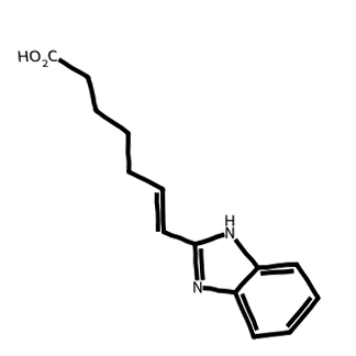 O=C(O)CCCCC=Cc1nc2ccccc2[nH]1